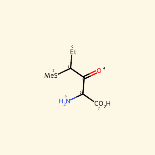 CCC(SC)C(=O)C(N)C(=O)O